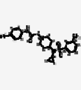 CC(C)c1ccc(NC(=O)CN2CCC(N(C3CC3)S(=O)(=O)c3cccc(C(F)(F)F)c3)CC2)cc1